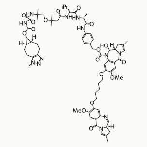 COc1cc2c(cc1OCCCCCOc1cc3c(cc1OC)C(=O)N1C=C(C)C[C@H]1[C@H](O)N3C(=O)OCc1ccc(NC(=O)[C@H](C)NC(=O)[C@@H](NC(=O)CC(C)(C)OCC(C)(C)NS(=O)(=O)NC(=O)OC3[C@H]4CCc5c(nnn5C)CC[C@@H]34)C(C)C)cc1)N=C[C@@H]1CC(C)=CN1C2=O